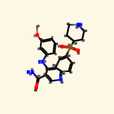 COc1cccc(Nc2c(C(N)=O)cnc3ccc(S(=O)(=O)C4CCNCC4)cc23)c1